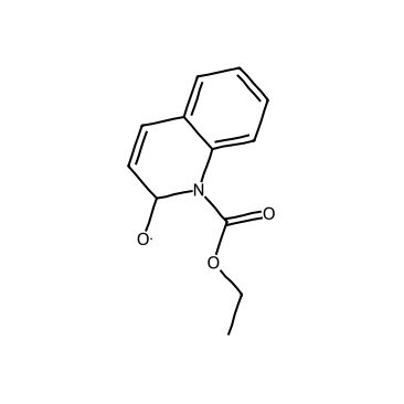 CCOC(=O)N1c2ccccc2C=CC1[O]